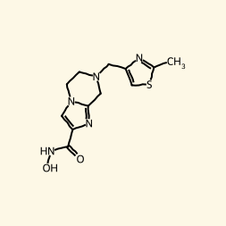 Cc1nc(CN2CCn3cc(C(=O)NO)nc3C2)cs1